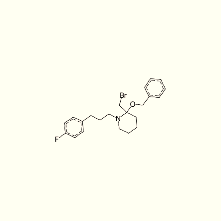 Fc1ccc(CCCN2CCCCC2(CBr)OCc2ccccc2)cc1